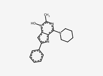 Cc1nc(N2CCCCC2)c2nc(-c3ccccc3)cc-2n1O